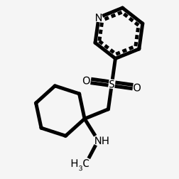 CNC1(CS(=O)(=O)c2cccnc2)CCCCC1